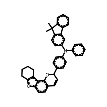 CC1(C)c2ccccc2-c2cc(N(c3ccccc3)c3ccc(C4C=Cc5ccc6oc7c(c6c5O4)CCCC7)cc3)ccc21